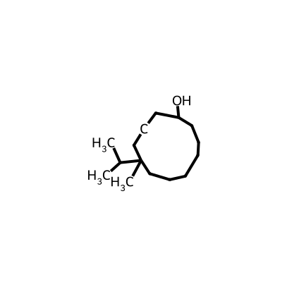 CC(C)C1(C)CCCCCCC(O)CCC1